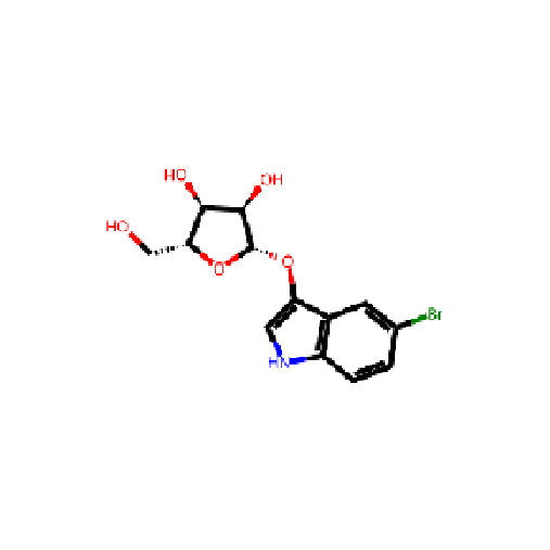 OC[C@H]1O[C@@H](Oc2c[nH]c3ccc(Br)cc23)[C@H](O)[C@@H]1O